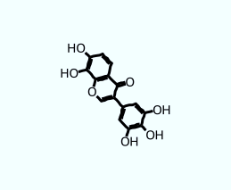 O=c1c(-c2cc(O)c(O)c(O)c2)coc2c(O)c(O)ccc12